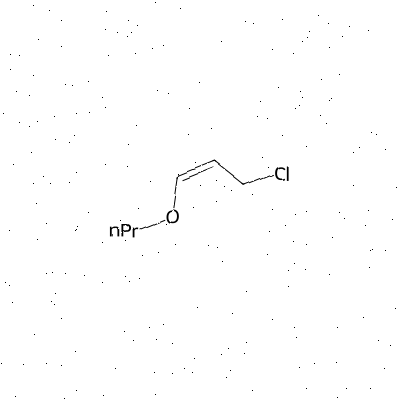 [CH2]CCO/C=C\CCl